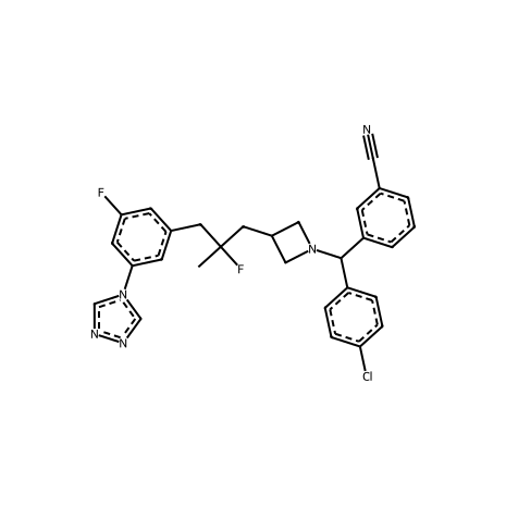 CC(F)(Cc1cc(F)cc(-n2cnnc2)c1)CC1CN(C(c2ccc(Cl)cc2)c2cccc(C#N)c2)C1